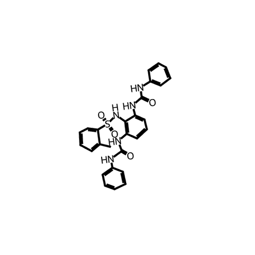 Cc1ccccc1S(=O)(=O)Nc1c(NC(=O)Nc2ccccc2)cccc1NC(=O)Nc1ccccc1